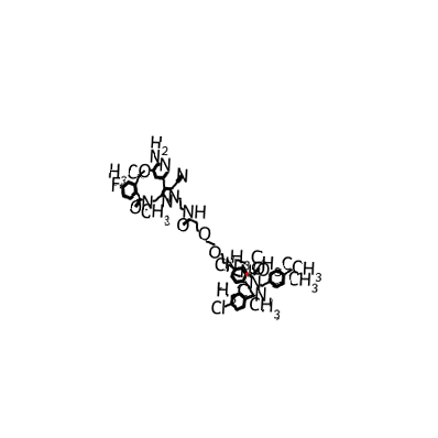 CCOc1cc(C(C)(C)C)ccc1C1=N[C@](C)(c2ccc(Cl)cc2)[C@](C)(c2ccc(Cl)cc2)N1C(=O)N1CCN(CCOCCOCCC(=O)NCCn2nc3c(c2C#N)-c2cnc(N)c(c2)O[C@H](C)c2cc(F)ccc2C(=O)N(C)C3)CC1